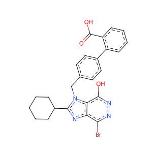 O=C(O)c1ccccc1-c1ccc(Cn2c(C3CCCCC3)nc3c(Br)nnc(O)c32)cc1